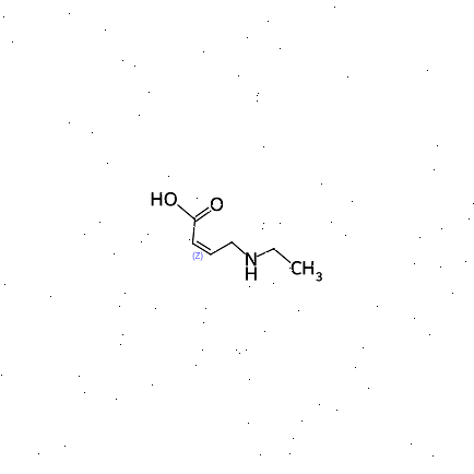 CCNC/C=C\C(=O)O